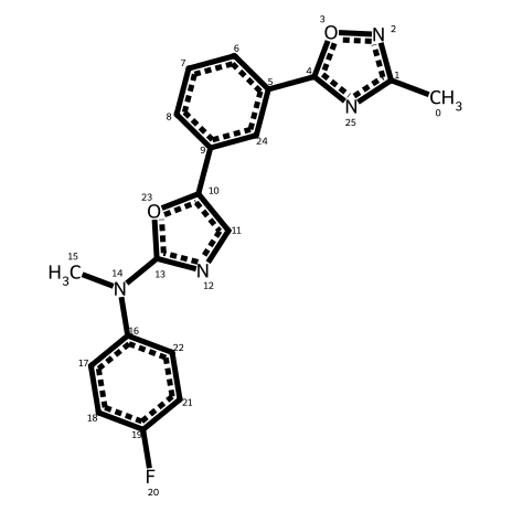 Cc1noc(-c2cccc(-c3cnc(N(C)c4ccc(F)cc4)o3)c2)n1